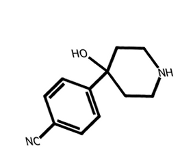 N#Cc1ccc(C2(O)CCNCC2)cc1